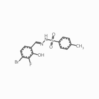 Cc1ccc(S(=O)(=O)NN=Cc2ccc(Br)c(F)c2O)cc1